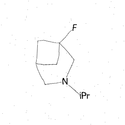 CC(C)N1CC2CC(F)(C2)C1